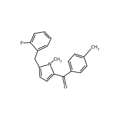 Cc1ccc(C(=O)c2ccc(Cc3cc[c]cc3F)n2C)cc1